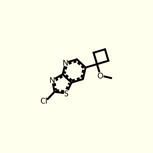 COC1(c2cnc3nc(Cl)sc3c2)CCC1